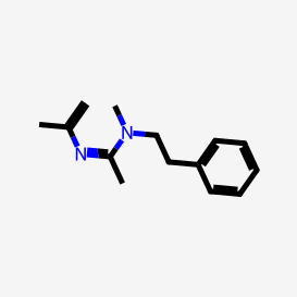 C=C(C)/N=C(/C)N(C)CCc1ccccc1